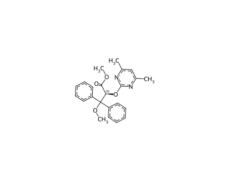 COC(=O)[C@@H](Oc1nc(C)cc(C)n1)C(OC)(c1ccccc1)c1ccccc1